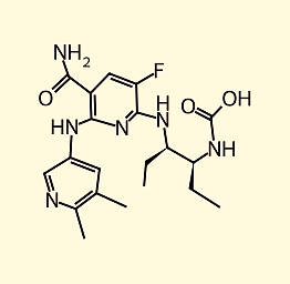 CC[C@H](NC(=O)O)[C@@H](CC)Nc1nc(Nc2cnc(C)c(C)c2)c(C(N)=O)cc1F